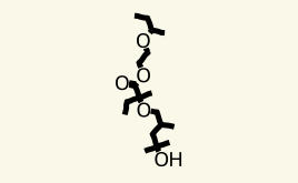 CCC(C)OCCOC(=O)C(C)(CC)OCC(C)CC(C)(C)O